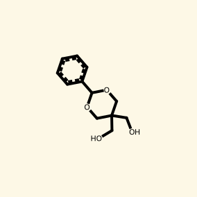 OCC1(CO)COC(c2ccccc2)OC1